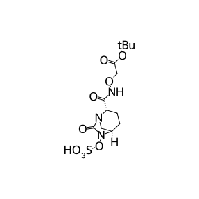 CC(C)(C)OC(=O)CONC(=O)[C@@H]1CC[C@@H]2CN1C(=O)N2OS(=O)(=O)O